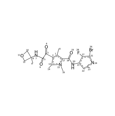 Cc1c(C(=O)C(=O)NC2(C)COC2)c(C)n(C)c1C(=O)Nc1ccnc(Br)c1F